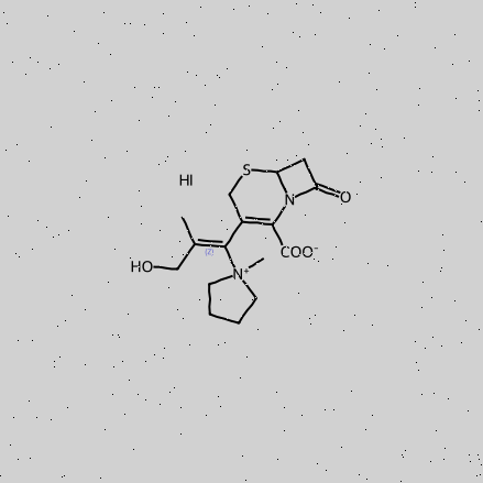 C/C(CO)=C(\C1=C(C(=O)[O-])N2C(=O)CC2SC1)[N+]1(C)CCCC1.I